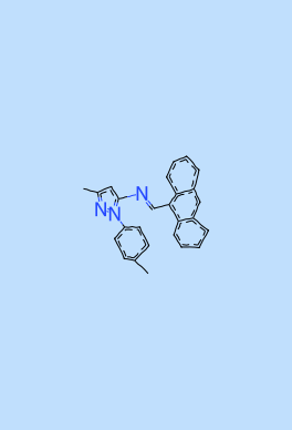 Cc1ccc(-n2nc(C)cc2N=Cc2c3ccccc3cc3ccccc23)cc1